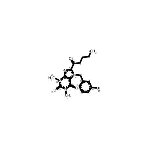 CCCCC(=O)c1nc2c(c(=O)n(C)c(=O)n2C)n1Cc1cccc(Br)c1